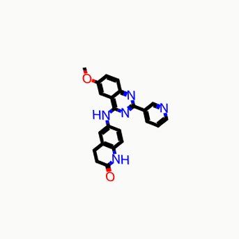 COc1ccc2nc(-c3cccnc3)nc(Nc3ccc4c(c3)CCC(=O)N4)c2c1